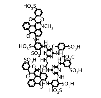 Cn1c(=O)c(C(=O)c2cccc(S(=O)(=O)O)c2)c2c3c(c(Nc4cc(Nc5nc(NCCNc6nc(Nc7cc(S(=O)(=O)O)ccc7C(=O)O)nc(Nc7cc(Nc8ccc9c%10c8C(=O)c8ccccc8-c%10c(C(=O)c8cccc(S(=O)(=O)O)c8)c(=O)n9C)c(S(=O)(=O)O)cc7S(=O)(=O)O)n6)nc(Nc6cc(S(=O)(=O)O)ccc6C(=O)O)n5)c(S(=O)(=O)O)cc4S(=O)(=O)O)ccc31)C(=O)c1ccccc1-2